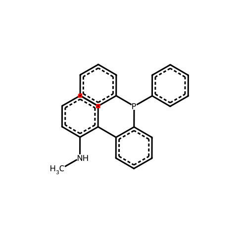 CNc1ccccc1-c1ccccc1P(c1ccccc1)c1ccccc1